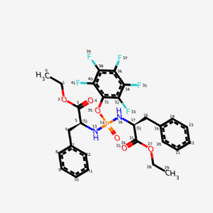 CCOC(=O)[C@H](Cc1ccccc1)NP(=O)(N[C@@H](Cc1ccccc1)C(=O)OCC)Oc1c(F)c(F)c(F)c(F)c1F